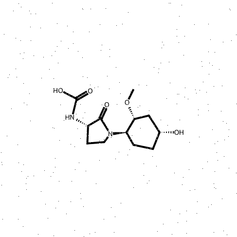 CO[C@@H]1C[C@H](O)CC[C@H]1N1CC[C@H](NC(=O)O)C1=O